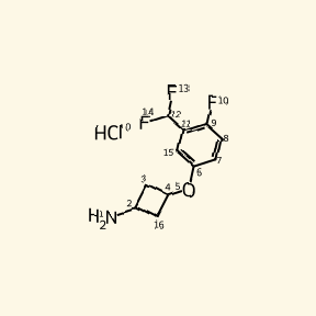 Cl.NC1CC(Oc2ccc(F)c(C(F)F)c2)C1